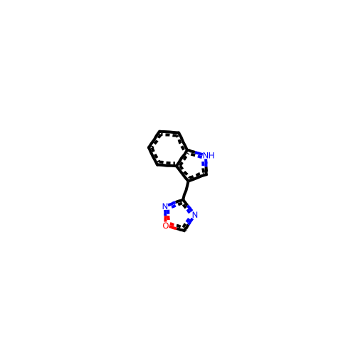 [c]1nc(-c2c[nH]c3ccccc23)no1